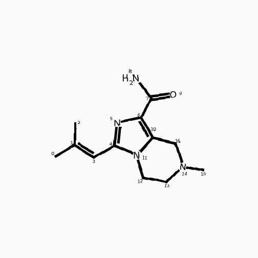 CC(C)=Cc1nc(C(N)=O)c2n1CCN(C)C2